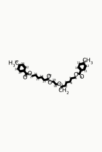 C=C(CCCCCOC(=O)c1ccc(C)cc1)OCCOC(=O)CCCCCOC(=O)c1ccc(C)cc1